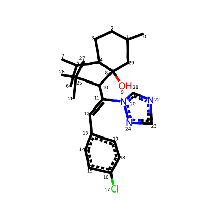 CC1CCC(C(C)C)C(O)(C(/C(=C/c2ccc(Cl)cc2)n2cncn2)C(C)(C)C)C1